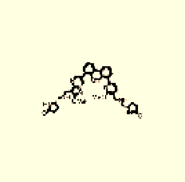 COc1nc(-c2cccc(-c3cccc(-c4cnc5c(CNC[C@@H]6CCC(=O)N6)c(OC)nn5c4)c3Cl)c2Cl)ccc1CNC[C@H]1CCC(=O)N1